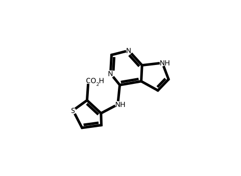 O=C(O)c1sccc1Nc1ncnc2[nH]ccc12